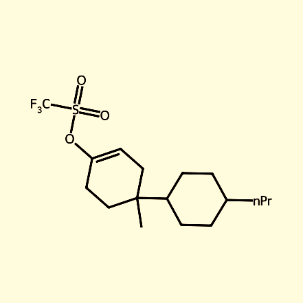 CCCC1CCC(C2(C)CC=C(OS(=O)(=O)C(F)(F)F)CC2)CC1